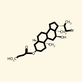 CC(CBr)[C@H]1CCC2C3CC[C@@H]4C[C@H](OC(=O)CCC(=O)O)CC[C@]4(C)C3C[C@H](O)[C@@]21C